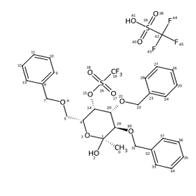 C[C@]1(O)O[C@H](COCc2ccccc2)[C@H](OS(=O)(=O)C(F)(F)F)[C@H](OCc2ccccc2)[C@H]1OCc1ccccc1.O=S(=O)(O)C(F)(F)F